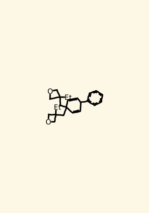 CCC1(CC2(CC3(CC)COC3)C=CC(c3ccccc3)C=C2)COC1